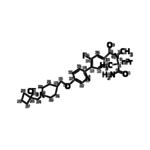 CCC[C@@](C)(C(N)=O)N(C)C(=O)c1ccc(-c2ccc(OCC3CCN(CC4(C(F)(F)F)CCC4)CC3)cn2)c(F)c1